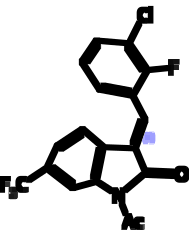 CC(=O)N1C(=O)/C(=C/c2cccc(Cl)c2F)c2ccc(C(F)(F)F)cc21